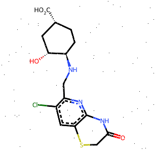 O=C1CSc2cc(Cl)c(CN[C@@H]3CC[C@@H](C(=O)O)C[C@H]3O)nc2N1